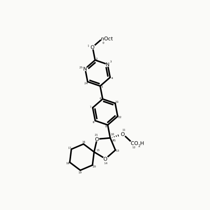 CCCCCCCCOc1ncc(-c2ccc([C@@]3(OC(=O)O)COC4(CCCCC4)O3)cc2)cn1